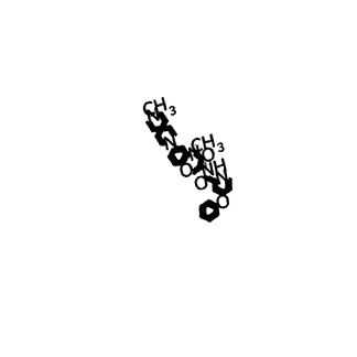 CN1CCC2(CC1)CCN(c1ccc3c(c1)N(C)C(=O)[C@@H](NC(=O)c1cc(Oc4ccccc4)ccn1)CO3)CC2